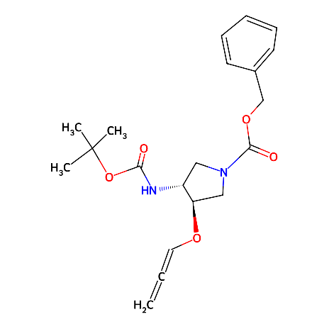 C=C=CO[C@@H]1CN(C(=O)OCc2ccccc2)C[C@H]1NC(=O)OC(C)(C)C